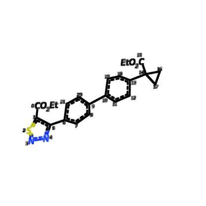 CCOC(=O)c1snnc1-c1ccc(-c2ccc(C3(C(=O)OCC)CC3)cc2)cc1